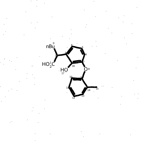 CCCCC(C(=O)O)c1cccc(Oc2ccccc2C)c1O